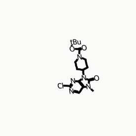 Cn1c(=O)n(C2CCN(C(=O)OC(C)(C)C)CC2)c2nc(Cl)ncc21